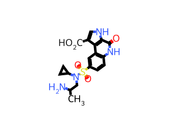 CC(N)CN(C1CC1)S(=O)(=O)c1ccc2[nH]c(=O)c3[nH]cc(C(=O)O)c3c2c1